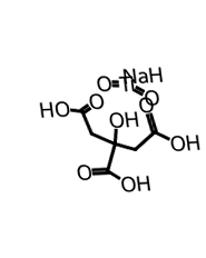 O=C(O)CC(O)(CC(=O)O)C(=O)O.[NaH].[O]=[Ti]=[O]